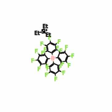 CC[Si+](CC)CC.Fc1c(F)c(F)c([B-](c2c(F)c(F)c(F)c(F)c2F)(c2c(F)c(F)c(F)c(F)c2F)c2c(F)c(F)c(F)c(F)c2F)c(F)c1F